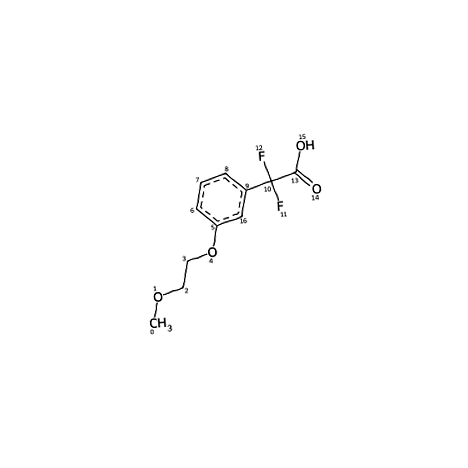 COCCOc1cccc(C(F)(F)C(=O)O)c1